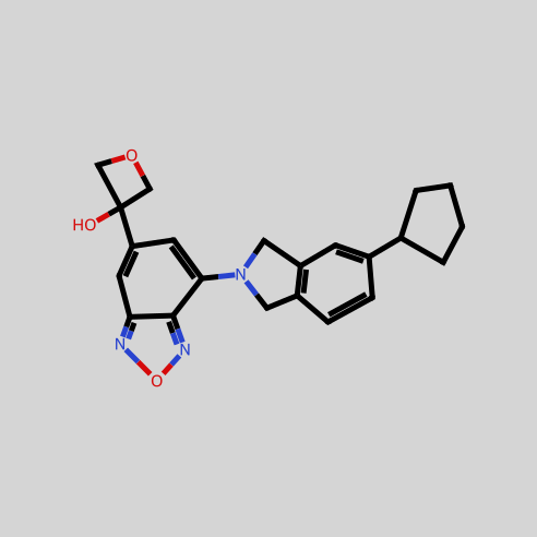 OC1(c2cc(N3Cc4ccc(C5CCCC5)cc4C3)c3nonc3c2)COC1